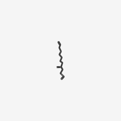 C=CCCCCCCC(=C)CCC=C